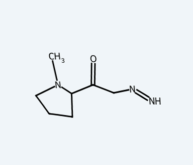 CN1CCCC1C(=O)CN=N